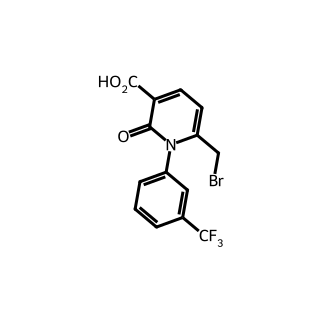 O=C(O)c1ccc(CBr)n(-c2cccc(C(F)(F)F)c2)c1=O